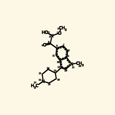 CON(O)C(=O)c1ccc2c(c1)c(C1CCN(C)CC1)cn2C